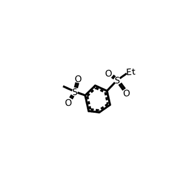 CCS(=O)(=O)c1cccc(S(C)(=O)=O)c1